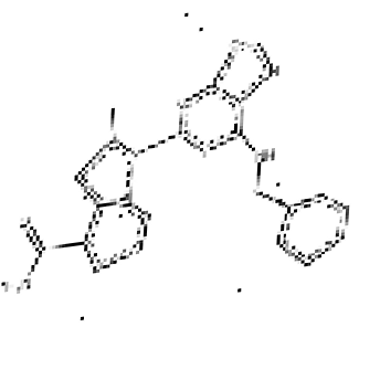 Cc1cc2c(C(N)=O)cccc2n1-c1nc(NCc2ccccc2)c2ncoc2n1